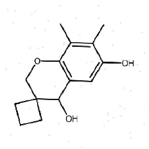 Cc1c(O)cc2c(c1C)OCC1(CCC1)C2O